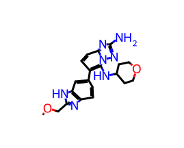 COCc1nc2ccc(-c3ccc4nc(N)nn4c3NC3CCOCC3)cc2[nH]1